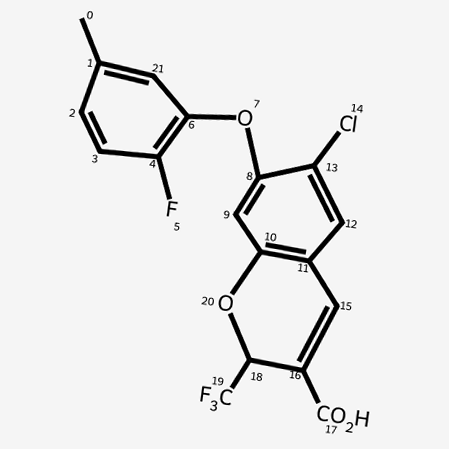 Cc1ccc(F)c(Oc2cc3c(cc2Cl)C=C(C(=O)O)C(C(F)(F)F)O3)c1